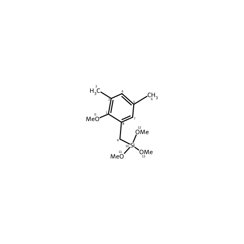 COc1c(C)cc(C)cc1C[Si](OC)(OC)OC